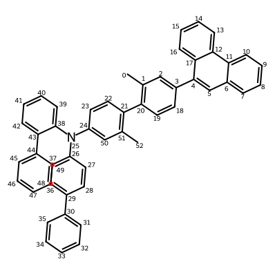 Cc1cc(-c2cc3ccccc3c3ccccc23)ccc1-c1ccc(N(c2ccc(-c3ccccc3)cc2)c2ccccc2-c2ccccc2)cc1C